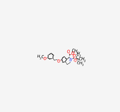 COC(=O)[C@H]1c2ccc(OCCc3cccc(OC)c3)cc2CCN1C(=O)OC(C)(C)C